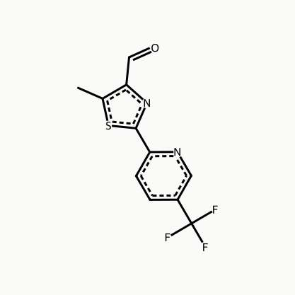 Cc1sc(-c2ccc(C(F)(F)F)cn2)nc1C=O